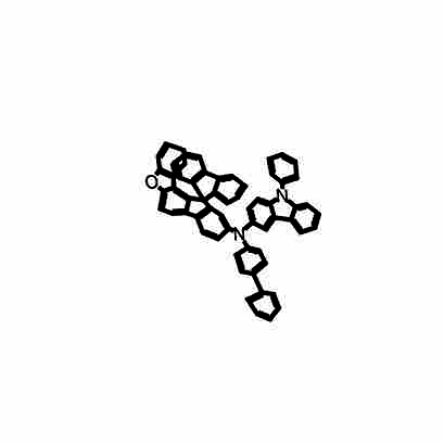 c1ccc2c(c#1)C1(c3ccccc3-2)c2cc(N(c3ccc(-c4ccccc4)cc3)c3ccc4c(c3)c3ccccc3n4-c3ccccc3)ccc2-c2ccc3oc4c(c3c21)CCC=C4